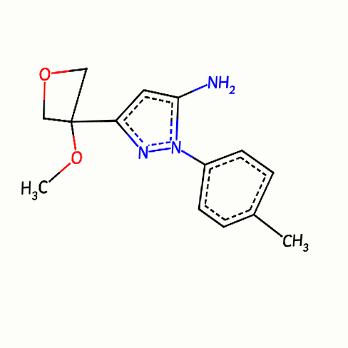 COC1(c2cc(N)n(-c3ccc(C)cc3)n2)COC1